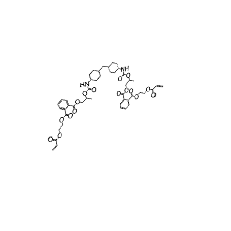 C=CC(=O)OCCOC(=O)c1ccccc1C(=O)OCC(C)OC(=O)NC1CCC(CC2CCC(NC(=O)OC(C)COC(=O)c3ccccc3C(=O)OCCOC(=O)C=C)CC2)CC1